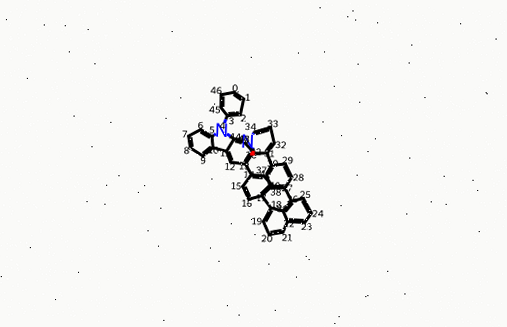 c1ccc(-n2c3ccccc3c3cc(-c4ccc(-c5cccc6cccc(-c7ccc(-c8cccnc8)cc7)c56)cc4)ccc32)cc1